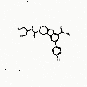 NC(=O)c1cc(-c2ccc(Cl)cc2)cc2c3c([nH]c12)CCC(C(=O)NC(CO)CO)C3